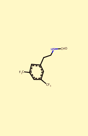 O=CNCCc1cc(C(F)(F)F)cc(C(F)(F)F)c1